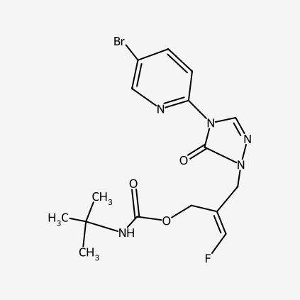 CC(C)(C)NC(=O)OC/C(=C\F)Cn1ncn(-c2ccc(Br)cn2)c1=O